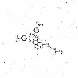 Cc1ccc(N(S(=O)(=O)c2ccc([N+](=O)[O-])cc2)S(=O)(=O)c2ccc([N+](=O)[O-])cc2)c(=O)n1CC(=O)NCCONC(=N)N